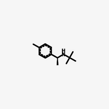 Cc1ccc([C@H](C)NC(C)(C)C)cc1